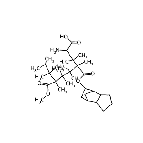 COC(=O)C(C)(C(C)(C)C(C)C)C(C)(C)C(C)(C)C(C)(C(=O)OC1CC2CC1C1CCCC21)C(C)(C)C(N)C(=O)O